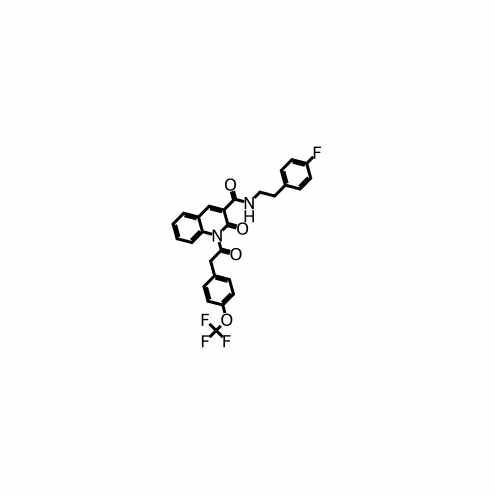 O=C(NCCc1ccc(F)cc1)c1cc2ccccc2n(C(=O)Cc2ccc(OC(F)(F)F)cc2)c1=O